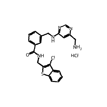 Cl.NCc1cc(NCc2cccc(C(=O)NCc3sc4ccccc4c3Cl)c2)ncn1